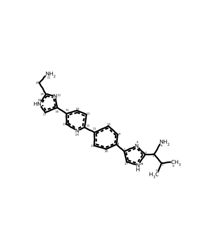 CC(C)C(N)c1nc(-c2ccc(-c3ccc(-c4c[nH]c(CN)n4)cn3)cc2)c[nH]1